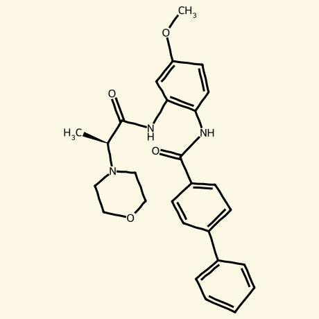 COc1ccc(NC(=O)c2ccc(-c3ccccc3)cc2)c(NC(=O)[C@H](C)N2CCOCC2)c1